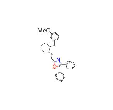 COc1cccc(CC2CCCCC2=CCc2nc(-c3ccccc3)c(-c3ccccc3)o2)c1